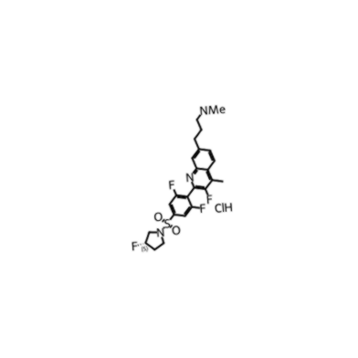 CNCCCc1ccc2c(C)c(F)c(-c3c(F)cc(S(=O)(=O)N4CC[C@H](F)C4)cc3F)nc2c1.Cl